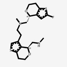 CNC[C@H]1OCCc2scc(CCN(C)C[C@@H]3OCCc4sc(F)cc43)c21